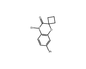 CCN1C(=O)C2(CCC2)Oc2cc(C(C)C)ccc21